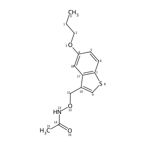 CCCOc1ccc2scc(CONC(C)=O)c2c1